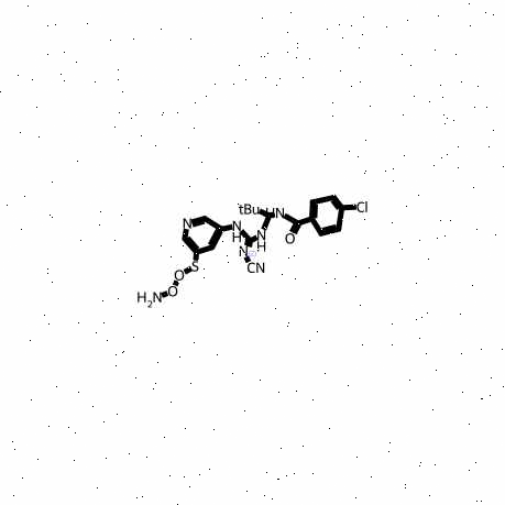 CC(C)(C)C(NC(=O)c1ccc(Cl)cc1)N/C(=N\C#N)Nc1cncc(SOON)c1